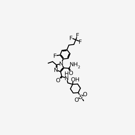 CCc1nc(C(=O)NCC2(O)CCC(S(C)(=O)=O)CC2)c(C(N)=O)n1-c1ccc(CCC(F)(F)F)cc1F